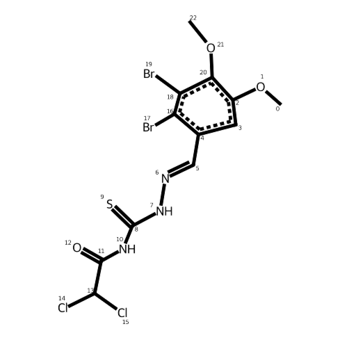 COc1cc(C=NNC(=S)NC(=O)C(Cl)Cl)c(Br)c(Br)c1OC